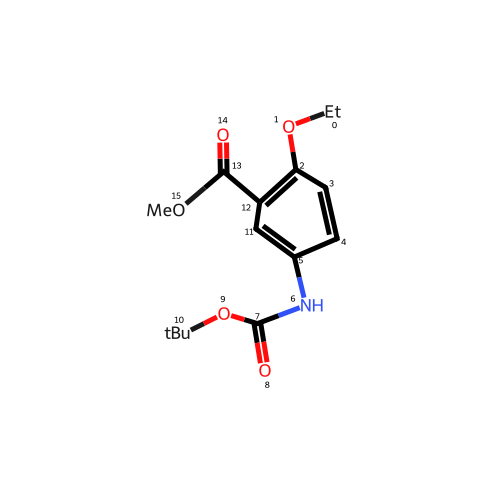 CCOc1ccc(NC(=O)OC(C)(C)C)cc1C(=O)OC